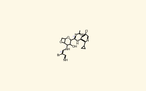 CC(=N)/N=C(\Nc1cc(Cl)cnc1C1CC1)C1OC2COC2C(N/C=C(/Br)C=N)C1O